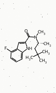 C[C@H](CC(C)(C)C)N(C)C(=O)c1cc2c(F)cccc2[nH]1